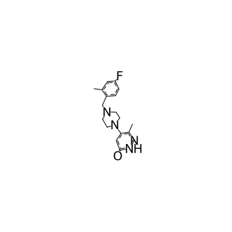 Cc1cc(F)ccc1CN1CCN(c2cc(=O)[nH]nc2C)CC1